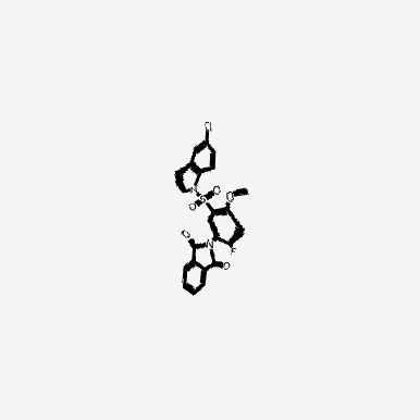 COc1cc(F)c(N2C(=O)c3ccccc3C2=O)cc1S(=O)(=O)n1ccc2cc(Cl)ccc21